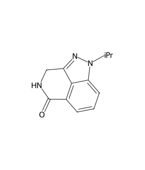 CC(C)n1nc2c3c(cccc31)C(=O)NC2